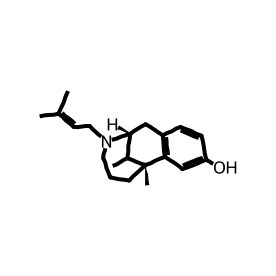 CC(C)=CCN1CCC[C@@]2(C)c3cc(O)ccc3C[C@@H]1C2C